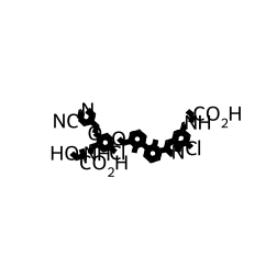 Cc1c(COc2cc(OCc3cncc(C#N)c3)c(CN[C@@](C)(CO)C(=O)O)cc2Cl)cccc1-c1cccc(-c2cnc3c(Cl)cc(CNC(C)C(=O)O)cc3c2)c1C